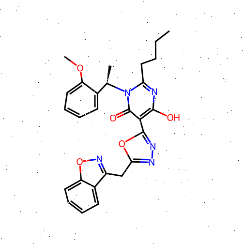 CCCCc1nc(O)c(-c2nnc(Cc3noc4ccccc34)o2)c(=O)n1[C@H](C)c1ccccc1OC